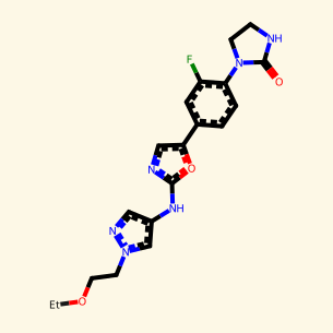 CCOCCn1cc(Nc2ncc(-c3ccc(N4CCNC4=O)c(F)c3)o2)cn1